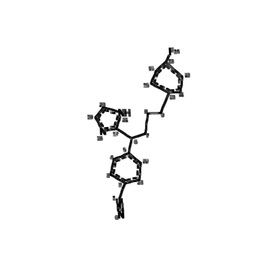 N#Cc1ccc(C(CCCc2ccc(F)cc2)c2ncc[nH]2)cc1